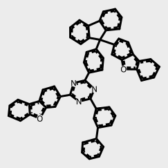 c1ccc(-c2cccc(-c3nc(-c4ccc(C5(c6ccc7c(c6)oc6ccccc67)c6ccccc6-c6ccccc65)cc4)nc(-c4ccc5c(c4)oc4ccccc45)n3)c2)cc1